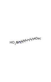 CCCCCCCCCCCCCCCCCCCCCC/C=C/CC(=O)O